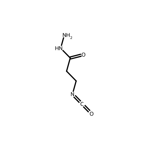 NNC(=O)CCN=C=O